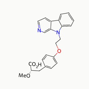 CO[C@@H](Cc1ccc(OCCn2c3ccccc3c3ccncc32)cc1)C(=O)O